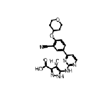 Cc1c(C(=O)O)n[nH]c1Nc1nccc(-c2ccc(OC3CCOCC3)c(C#N)c2)n1